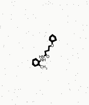 Cc1ccccc1NNC(=O)CCCOc1ccccc1